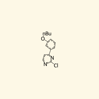 CCCCOc1cccc(-c2ccnc(Cl)n2)c1